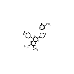 Cc1cc(C2CN(c3nc(C4CCC(F)(F)CC4)c4nc(C)c(C)nc4n3)CCO2)ccn1